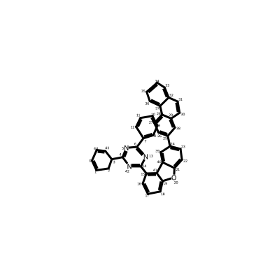 C1=CCC(c2nc(-c3ccccc3)nc(-c3cccc4oc5ccc(-c6ccc7c(ccc8ccccc87)c6)cc5c34)n2)C=C1